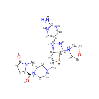 CC(=O)N1C(=O)CC[C@@H]1C(=O)N1CCN(Cc2cc3nc(-c4cnc(N)nc4)nc(N4CCOCC4)c3s2)CC1